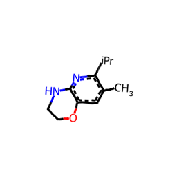 Cc1cc2c(nc1C(C)C)NCCO2